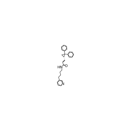 O=C(/C=C/[C@@H]1CC1(c1ccccc1)c1ccccc1)NCCCCc1cccnc1